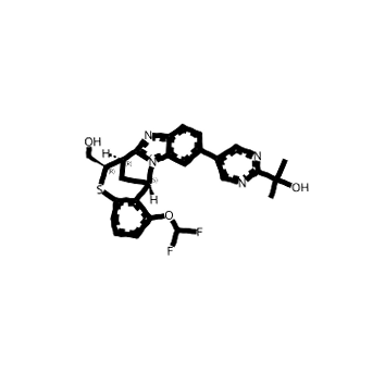 CC(C)(O)c1ncc(-c2ccc3nc4n(c3c2)[C@H]2C[C@H]4[C@H](CO)Sc3cccc(OC(F)F)c32)cn1